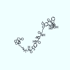 COc1cc2c(cc1OCCCC(=O)Nc1cc(C(=O)Nc3ccc4sc(C(=O)NCC(C)(C)SSCCCC(=O)ON5C(=O)CCC5=O)cc4c3)n(C)c1)NC(S(=O)(=O)O)[C@@H]1Cc3ccccc3N1C2=O